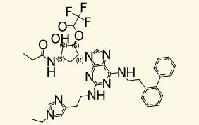 CCC(=O)N[C@H]1C[C@@H](n2cnc3c(NCCc4ccccc4-c4ccccc4)nc(NCCc4cn(CC)cn4)nc32)[C@H](OC(=O)C(F)(F)F)[C@@H]1O